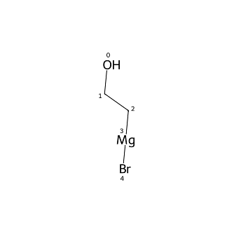 OC[CH2][Mg][Br]